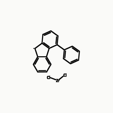 [CH]1c2ccccc2-c2c1cccc2-c1ccccc1.[Cl][Zr][Cl]